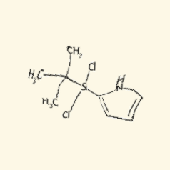 CC(C)(C)[Si](Cl)(Cl)c1ccc[nH]1